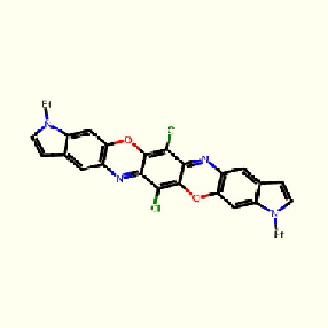 CCn1ccc2cc3c(cc21)Oc1c(Cl)c2c(c(Cl)c1=N3)Oc1cc3c(ccn3CC)cc1N=2